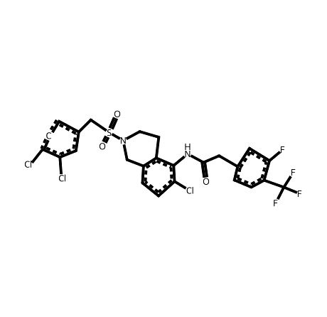 O=C(Cc1ccc(C(F)(F)F)c(F)c1)Nc1c(Cl)ccc2c1CCN(S(=O)(=O)Cc1ccc(Cl)c(Cl)c1)C2